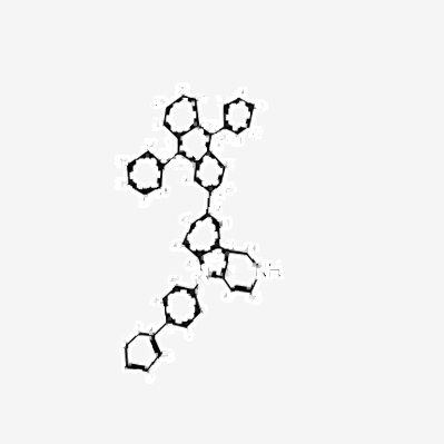 C1=CCCC(c2ccc(-n3c4c(c5cc(-c6ccc7c(-c8ccccc8)c8ccccc8c(-c8ccccc8)c7c6)ccc53)CNC=C4)cc2)=C1